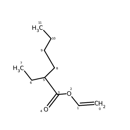 C=COC(=O)C(CC)CCCC